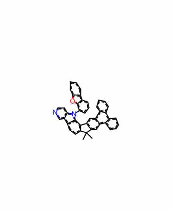 CC1(C)c2cc3c4ccccc4c4ccccc4c3cc2-c2c1ccc1c3cnccc3n(-c3cccc4c3oc3ccccc34)c21